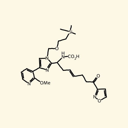 COc1ncccc1-c1cn(COCC[Si](C)(C)C)c(C(CC=CCCC(=O)c2ccon2)NC(=O)O)n1